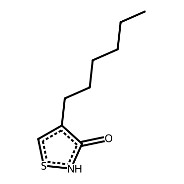 CCCCCCc1cs[nH]c1=O